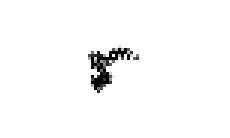 CC(=O)N1CC(C)(c2ccc(-c3cc4nccnc4c(OC[C@@H]4CN(S(C)(=O)=O)CCO4)n3)cc2)C1